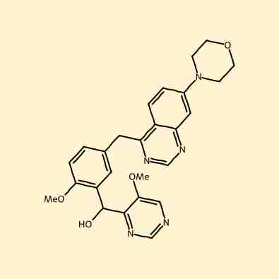 COc1ccc(Cc2ncnc3cc(N4CCOCC4)ccc23)cc1C(O)c1ncncc1OC